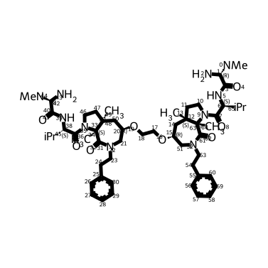 CN[C@@H](N)C(=O)N[C@H](C(=O)N1CC[C@@]2(C)C[C@@H](OCCO[C@H]3CN(CCc4ccccc4)C(=O)[C@@]4(C)N(C(=O)[C@@H](NC(=O)[C@H](N)NC)C(C)C)CC[C@@]4(C)C3)CN(CCc3ccccc3)C(=O)[C@@]12C)C(C)C